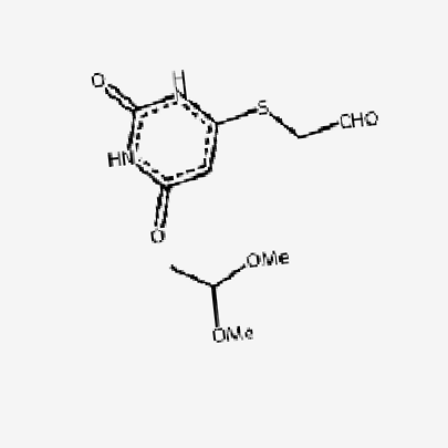 COC(C)OC.O=CCSc1cc(=O)[nH]c(=O)[nH]1